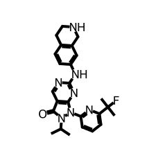 CC(C)n1c(=O)c2cnc(Nc3ccc4c(c3)CNCC4)nc2n1-c1cccc(C(C)(C)F)n1